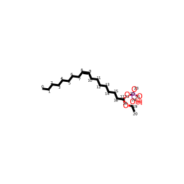 CCCCCCCC/C=C\CCCCCCCC(OCC)OP(=O)(O)O